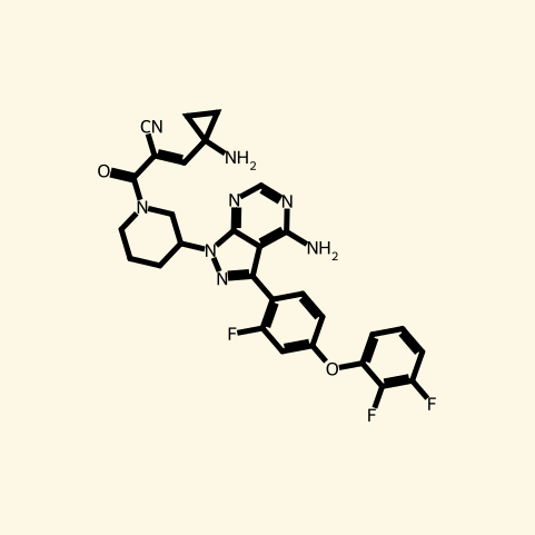 N#CC(=CC1(N)CC1)C(=O)N1CCCC(n2nc(-c3ccc(Oc4cccc(F)c4F)cc3F)c3c(N)ncnc32)C1